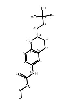 CCOC(=O)Nc1ccc2c(c1)CC[C@@H](CCC(F)(F)F)O2